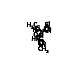 Cc1cc(NC(=O)Oc2nc(C)sc2Nc2cncc(Cl)c2)ccn1